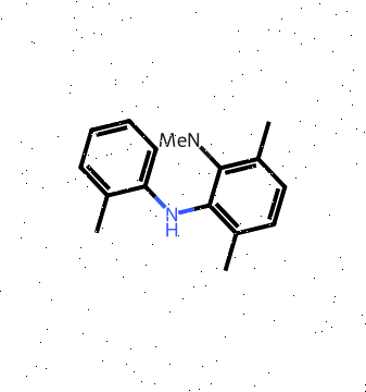 CNc1c(C)ccc(C)c1Nc1ccccc1C